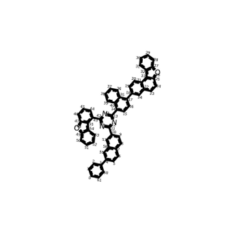 c1ccc(-c2ccc3ccc(-c4nc(-c5ccc(-c6ccc7c(ccc8oc9ccccc9c87)c6)c6ccccc56)nc(-c5cccc6oc7ccccc7c56)n4)cc3c2)cc1